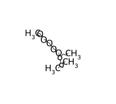 CCCc1cc(-c2cc(C)ccc2C)ccc1OCCOCCOCCOCCOC